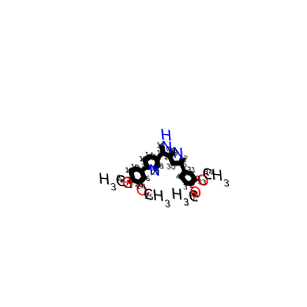 COc1ccc(-c2cnc3[nH]cc(-c4ccc(-c5ccc(OC)c(OC)c5)nc4)c3c2)cc1OC